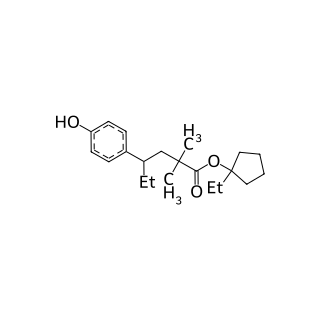 CCC(CC(C)(C)C(=O)OC1(CC)CCCC1)c1ccc(O)cc1